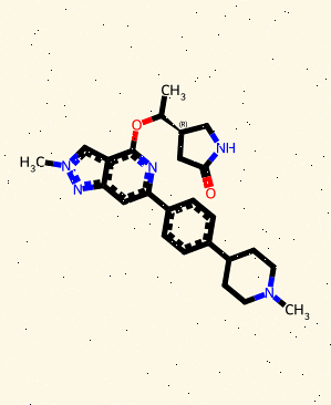 CC(Oc1nc(-c2ccc(C3CCN(C)CC3)cc2)cc2nn(C)cc12)[C@H]1CNC(=O)C1